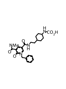 CNC(=O)c1cc(C(=O)NCCC2CCC(NC(=O)O)CC2)cn(Cc2ccccc2)c1=O